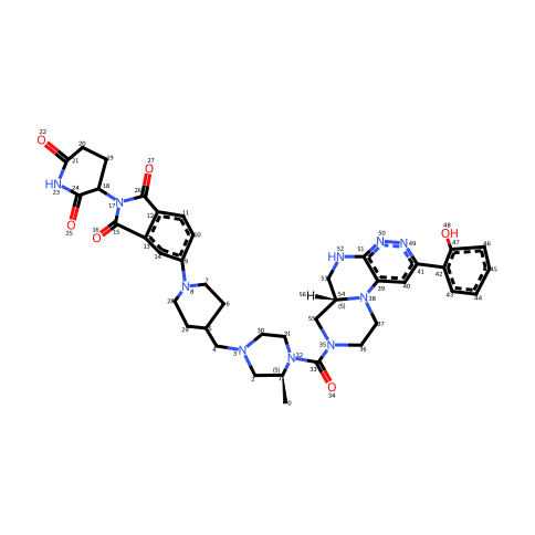 C[C@H]1CN(CC2CCN(c3ccc4c(c3)C(=O)N(C3CCC(=O)NC3=O)C4=O)CC2)CCN1C(=O)N1CCN2c3cc(-c4ccccc4O)nnc3NC[C@H]2C1